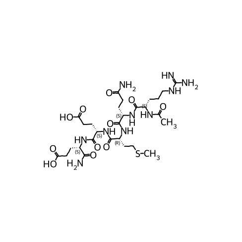 CSCC[C@@H](NC(=O)[C@H](CCC(N)=O)NC(=O)[C@H](CCCNC(=N)N)NC(C)=O)C(=O)N[C@@H](CCC(=O)O)C(=O)N[C@@H](CCC(=O)O)C(N)=O